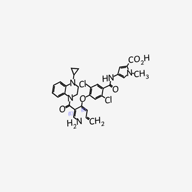 C=C/C=C(Oc1cc(Cl)c(C(=O)Nc2cc(C(=O)O)n(C)c2)cc1Cl)\C(=C/N)C(=O)N1CCN(C2CC2)c2ccccc21